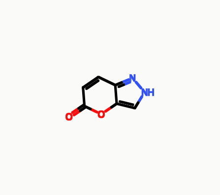 O=c1ccc2n[nH]cc2o1